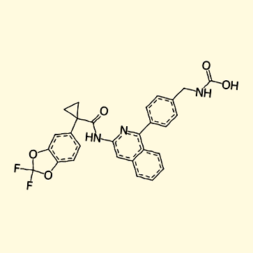 O=C(O)NCc1ccc(-c2nc(NC(=O)C3(c4ccc5c(c4)OC(F)(F)O5)CC3)cc3ccccc23)cc1